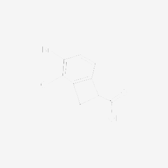 O=C(O)C1Cc2c1ccc(Br)c2Cl